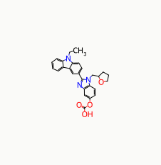 CCn1c2ccccc2c2cc(-c3nc4cc(OC(=O)O)ccc4n3CC3CCCO3)ccc21